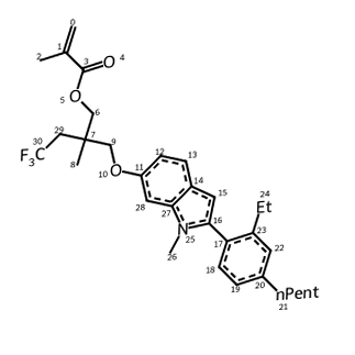 C=C(C)C(=O)OCC(C)(COc1ccc2cc(-c3ccc(CCCCC)cc3CC)n(C)c2c1)CC(F)(F)F